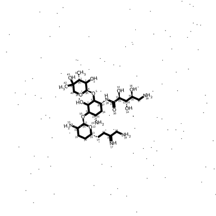 C[C@@H]1C(O)[C@@H](OC2C(O)C(O[C@H]3O[C@H](CCC(=N)CN)CCC3N)[C@@H](N)C[C@H]2NC(=O)[C@@H](O)[C@@H](O)[C@@H](O)CN)OCC1(C)O